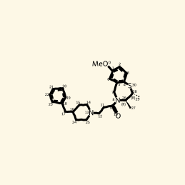 COc1ccc2c(c1)CN(C(=O)CCN1CCC(Cc3ccccc3)CC1)[C@H](C)[C@@H](C)S2